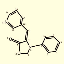 O=C1OCN(c2ccccc2)C1=Cc1cccnc1